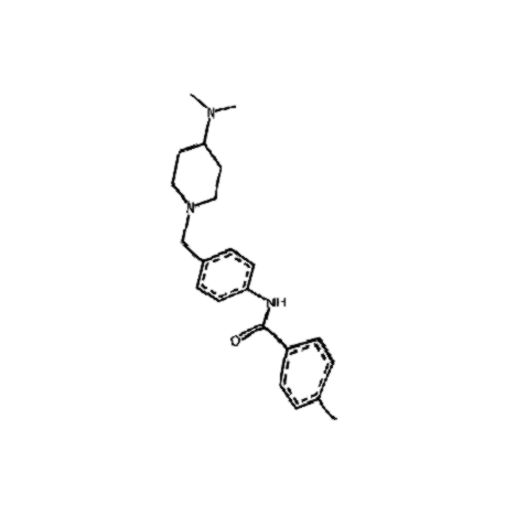 Cc1ccc(C(=O)Nc2ccc(CN3CCC(N(C)C)CC3)cc2)cc1